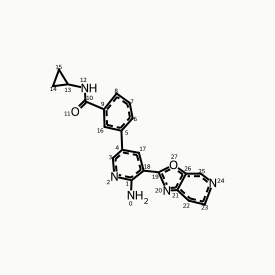 Nc1ncc(-c2cccc(C(=O)NC3CC3)c2)cc1-c1nc2ccncc2o1